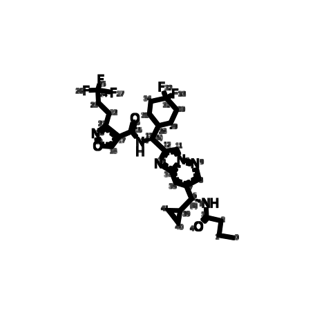 CCCC(=O)N[C@@H](c1cnn2cc([C@@H](NC(=O)c3conc3CCC(F)(F)F)C3CCC(F)(F)CC3)nc2c1)C1CC1